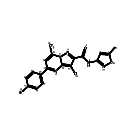 Cc1cc(NC(=O)c2nn3c(C(F)(F)F)cc(-c4ccc(Br)cc4)nc3c2Cl)no1